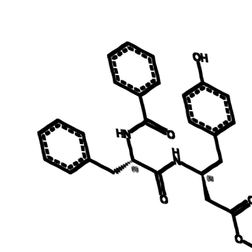 COC(=O)C[C@H](Cc1ccc(O)cc1)NC(=O)[C@H](Cc1ccccc1)NC(=O)c1ccccc1